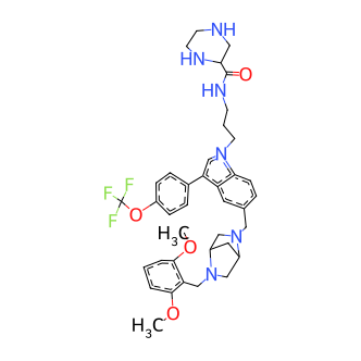 COc1cccc(OC)c1CN1CC2CC1CN2Cc1ccc2c(c1)c(-c1ccc(OC(F)(F)F)cc1)cn2CCCNC(=O)C1CNCCN1